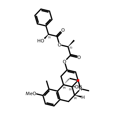 COc1ccc2c(c1C)[C@]13CCN(C)[C@H](C2)[C@]1(O)CC=C(OC(=O)[C@H](C)OC(=O)[C@@H](O)c1ccccc1)C3